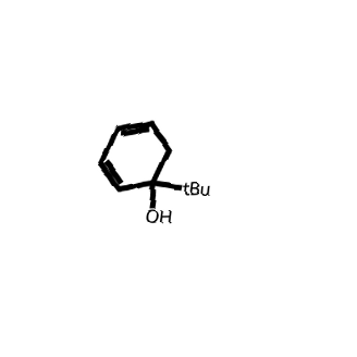 CC(C)(C)C1(O)C=CC=CC1